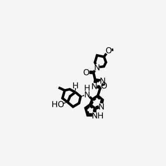 COC1CCN(C(=O)c2noc(-c3cnc4[nH]ccc4c3N[C@@H]3CC[C@@]4(O)CC(C)C[C@@H]3C4)n2)CC1